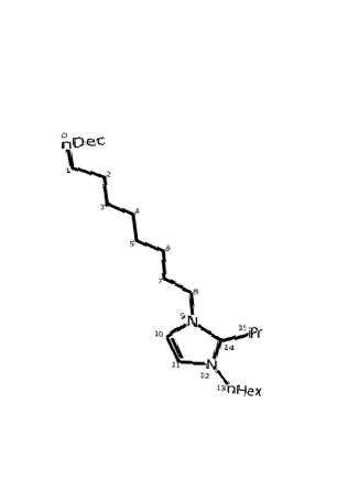 CCCCCCCCCCCCCCCCCCN1C=CN(CCCCCC)C1C(C)C